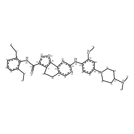 CCc1cccc(CC)c1NC(=O)c1noc2c1CCc1cnc(Nc3ccc(N4CCC(N(C)C)CC4)cc3OC)nc1-2